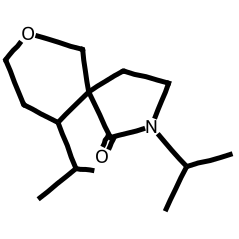 CC(C)C1CCOCC12CCN(C(C)C)C2=O